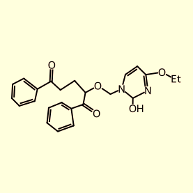 CCOC1=NC(O)N(COC(CCC(=O)c2ccccc2)C(=O)c2ccccc2)C=C1